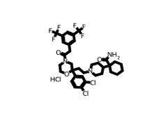 Cl.NC(=O)C1(C2CCN(CCC3(c4ccc(Cl)c(Cl)c4)CN(C(=O)Cc4cc(C(F)(F)F)cc(C(F)(F)F)c4)CCO3)CC2)CCCCC1